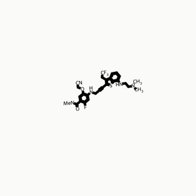 CNC(=O)c1cc(OCC#N)c(NCC#Cc2sc3c(NCCN(C)C)cccc3c2CC(F)(F)F)cc1F